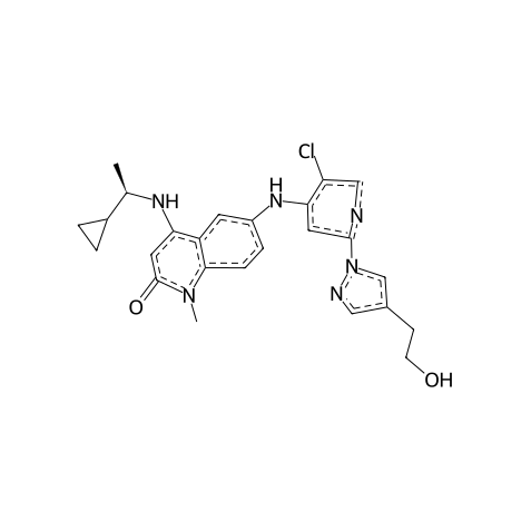 C[C@@H](Nc1cc(=O)n(C)c2ccc(Nc3cc(-n4cc(CCO)cn4)ncc3Cl)cc12)C1CC1